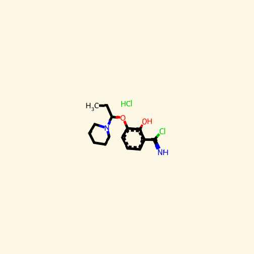 CCC(Oc1cccc(C(=N)Cl)c1O)N1CCCCC1.Cl